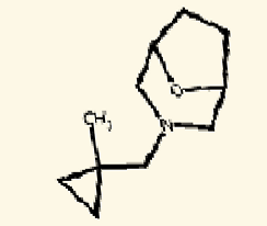 CC1(CN2CC3CCC(C2)O3)CC1